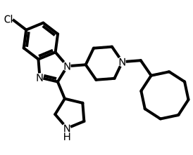 Clc1ccc2c(c1)nc(C1CCNC1)n2C1CCN(CC2CCCCCCC2)CC1